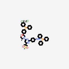 C[C@H]1COCCN1c1cc(C(C)(C)S(C)(=O)=O)nc(-c2ccc(N)cc2)n1.[Cl][Pd][Cl].c1ccc(P(c2ccccc2)c2ccccc2)cc1.c1ccc(P(c2ccccc2)c2ccccc2)cc1